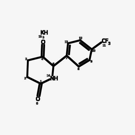 O=C1CCC(=O)C(c2ccc(C(F)(F)F)cc2)N1.[KH]